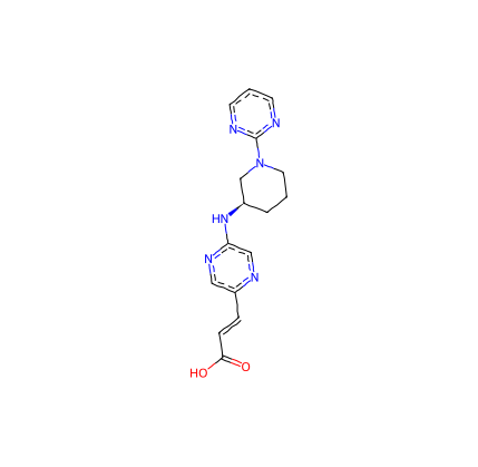 O=C(O)C=Cc1cnc(N[C@@H]2CCCN(c3ncccn3)C2)cn1